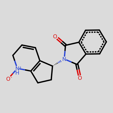 O=C1c2ccccc2C(=O)N1[C@@H]1CCC2=C1C=CC[NH+]2[O-]